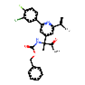 C=C(c1cc(C(C)(NC(=O)OCc2ccccc2)C(=O)OC)cc(-c2ccc(F)c(Cl)c2)n1)C(F)(F)F